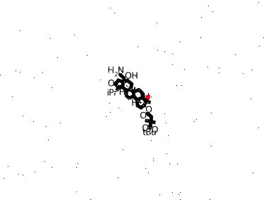 CC(C)C1=C2[C@H]3CC[C@@H]4[C@@]5(C)CC[C@H](OC(=O)CC(C)(C)C(=O)OC(C)(C)C)C(C)(C)[C@@H]5CC[C@@]4(C)[C@]3(C)CCC2(C(O)CN)CC1=O